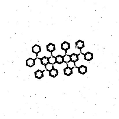 c1ccc(N(c2cc3c4c(c2)N(c2ccccc2)c2cc5c(cc2B4c2ccccc2N3c2ccccc2)B2c3ccccc3N(c3ccccc3)c3cc(N(C4CCCCC4)C4CCCCC4)cc(c32)N5c2ccccc2)c2ccccn2)cc1